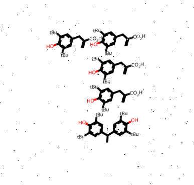 C=C(Cc1cc(C(C)(C)C)c(O)c(C(C)(C)C)c1)C(=O)O.C=C(Cc1cc(C(C)(C)C)c(O)c(C(C)(C)C)c1)C(=O)O.C=C(Cc1cc(C(C)(C)C)c(O)c(C(C)(C)C)c1)C(=O)O.C=C(Cc1cc(C(C)(C)C)c(O)c(C(C)(C)C)c1)C(=O)O.CC(c1cc(C(C)(C)C)c(O)c(C(C)(C)C)c1)c1cc(C(C)(C)C)c(O)c(C(C)(C)C)c1